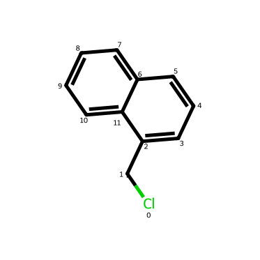 Cl[CH]c1cccc2ccccc12